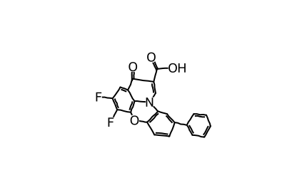 O=C(O)c1cn2c3c(c(F)c(F)cc3c1=O)Oc1ccc(-c3ccccc3)cc1-2